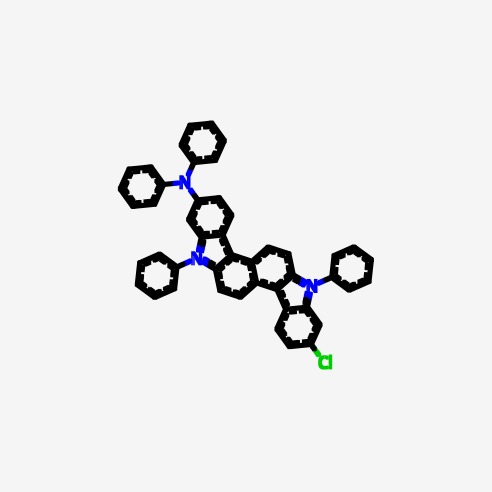 Clc1ccc2c3c4ccc5c(c4ccc3n(-c3ccccc3)c2c1)c1ccc(N(c2ccccc2)c2ccccc2)cc1n5-c1ccccc1